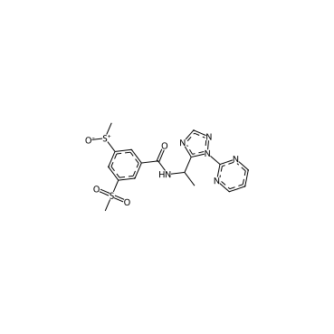 CC(NC(=O)c1cc([S+](C)[O-])cc(S(C)(=O)=O)c1)c1ncnn1-c1ncccn1